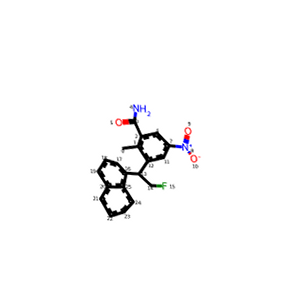 Cc1c(C(N)=O)cc([N+](=O)[O-])cc1C(CF)c1cccc2ccccc12